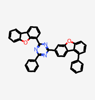 c1ccc(-c2nc(-c3ccc4c(c3)oc3cccc(-c5ccccc5)c34)nc(-c3cccc4c3oc3ccccc34)n2)cc1